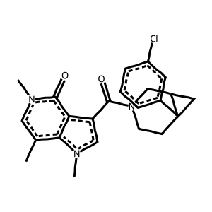 Cc1cn(C)c(=O)c2c(C(=O)N3CCC4(c5cccc(Cl)c5)CC4C3)cn(C)c12